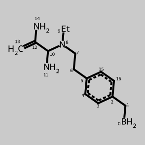 BCc1ccc(CCN(CC)C(N)C(=C)N)cc1